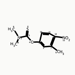 Cc1cc(OC(=S)N(C)C)ccc1[N+](=O)[O-]